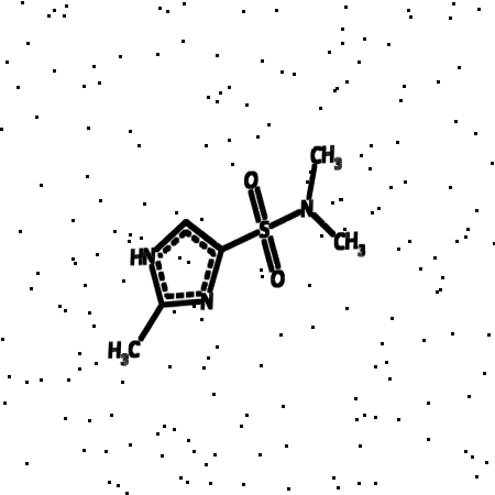 Cc1nc(S(=O)(=O)N(C)C)c[nH]1